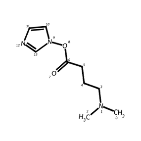 CN(C)CCCC(=O)On1ccnc1